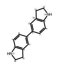 c1cc2c(cc1-c1ccc3c(c1)CCN3)CCN2